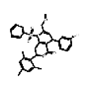 COCC1=CC(c2cccc(O)c2)C2=C(CC(c3c(C)cc(C)cc3C)OC2=O)N1S(=O)(=O)c1ccccc1